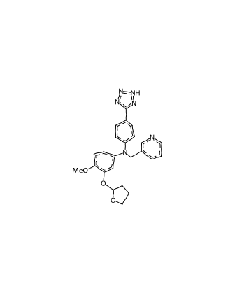 COc1ccc(N(Cc2cccnc2)c2ccc(-c3nn[nH]n3)cc2)cc1OC1CCCO1